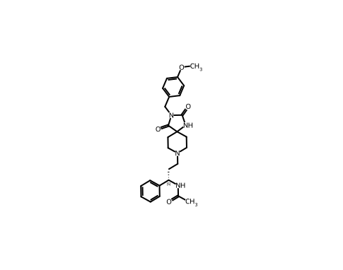 COc1ccc(CN2C(=O)NC3(CCN(CC[C@H](NC(C)=O)c4ccccc4)CC3)C2=O)cc1